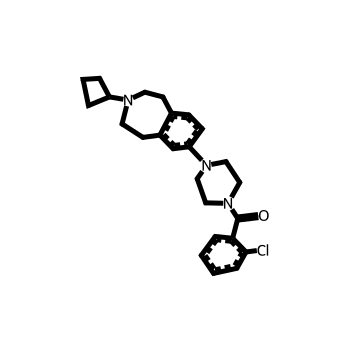 O=C(c1ccccc1Cl)N1CCN(c2ccc3c(c2)CCN(C2CCC2)CC3)CC1